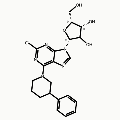 OC[C@H]1O[C@@H](n2cnc3c(N4CCCC(c5ccccc5)C4)nc(Cl)nc32)C(O)[C@H]1O